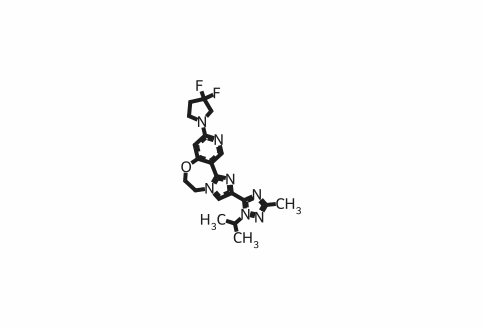 Cc1nc(-c2cn3c(n2)-c2cnc(N4CCC(F)(F)C4)cc2OCC3)n(C(C)C)n1